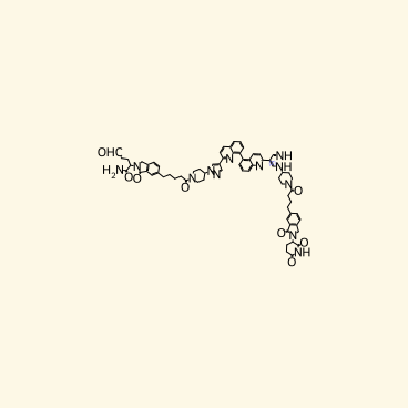 N=C/C(=C\NC1CCN(C(=O)CCCc2ccc3c(c2)C(=O)N(C2CCC(=O)NC2=O)C3)CC1)c1ccc2c(-c3cccc4ccc(-c5cnn(C6CCN(C(=O)CCCCc7ccc8c(c7)C(=O)N(C(CCC=O)C(N)=O)C8)CC6)c5)nc34)cccc2n1